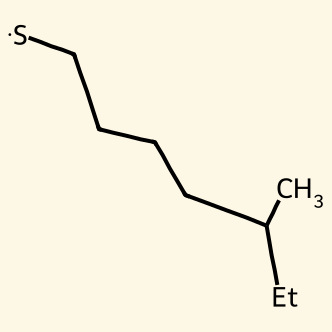 CCC(C)CCCC[S]